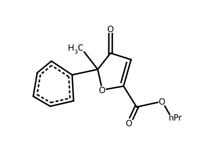 CCCOC(=O)C1=CC(=O)C(C)(c2ccccc2)O1